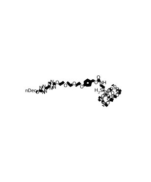 CCCCCCCCCCOc1nnc(-c2nnc(OCCOCCOCCOc3ccc(COC(=O)NCC[SiH2]O[Si]45O[Si](C)(C)O[Si](C)(C)O[Si](C)(C[Si]6(C)O[Si](C)(C)O[Si](C)(C)O[Si](C)(O6)O4)O5)cc3)nn2)nn1